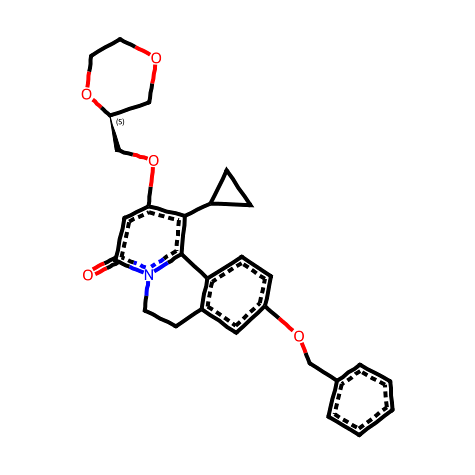 O=c1cc(OC[C@@H]2COCCO2)c(C2CC2)c2n1CCc1cc(OCc3ccccc3)ccc1-2